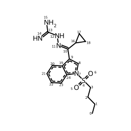 CCCCS(=O)(=O)n1cc(C(=NNC(=N)N)C2CC2)c2ccccc21